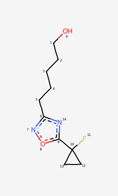 OCCCCCc1noc(C2(F)CC2)n1